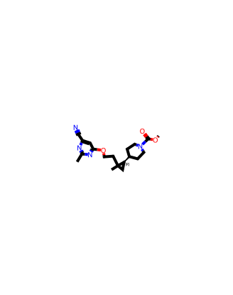 COC(=O)N1CCC([C@H]2CC2(C)CCOc2cc(C#N)nc(C)n2)CC1